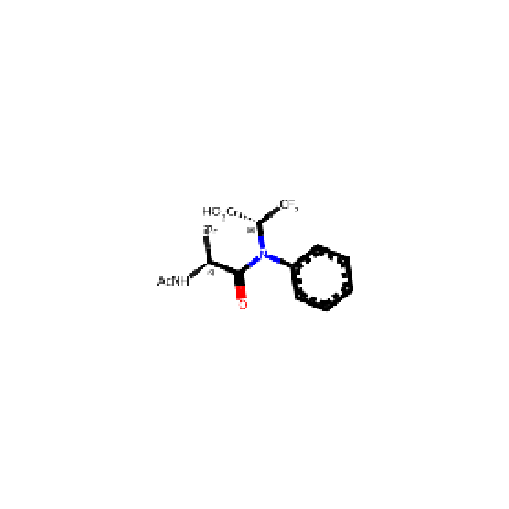 CC(=O)N[C@H](C(=O)N(c1ccccc1)[C@H](C(=O)O)C(F)(F)F)C(C)C